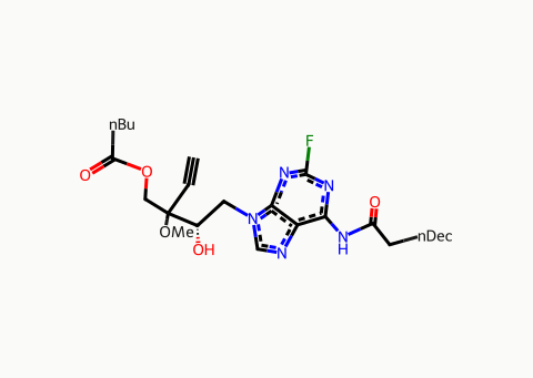 C#CC(COC(=O)CCCC)(OC)[C@@H](O)Cn1cnc2c(NC(=O)CCCCCCCCCCC)nc(F)nc21